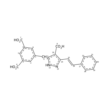 Cc1cc(C(=O)O)cc(C(=O)O)c1.O=C(O)c1c[nH]nc1C=Cc1ccccc1